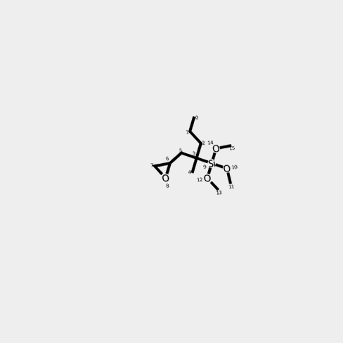 CCCC(C)(CC1CO1)[Si](OC)(OC)OC